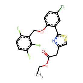 CCOC(=O)Cc1csc(-c2cc(Cl)ccc2OCc2c(F)ccc(F)c2F)n1